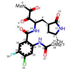 CNC(=O)C(=O)C(C[C@@H]1C[C@@H](C)NC1=O)NC(=O)c1cc(F)c(Cl)cc1NC(=O)OC